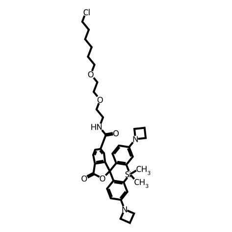 C[Si]1(C)c2cc(N3CCC3)ccc2C2(OC(=O)c3ccc(C(=O)NCCOCCOCCCCCCCl)cc32)c2ccc(N3CCC3)cc21